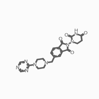 O=C1CCN(N2C(=O)c3ccc(CN4CCN(c5ncncn5)CC4)cc3C2=O)C(=O)N1